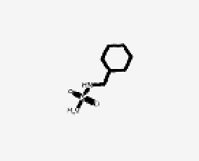 NS(=O)(=O)NCC1CCCCC1